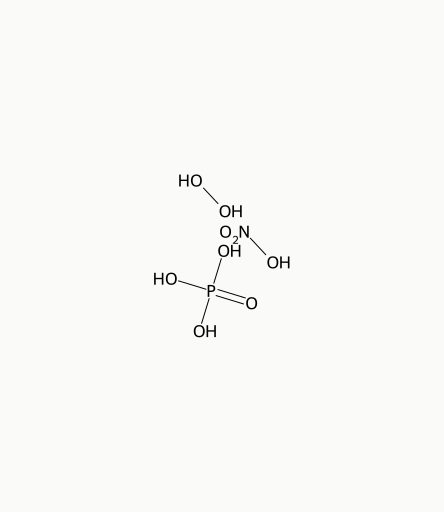 O=P(O)(O)O.O=[N+]([O-])O.OO